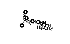 CC(C)(C)OC(=O)NC1CCN(c2ccc3c(c2)ncn3-c2ccc(Oc3ccccc3)nc2OCc2ccccc2)CC1